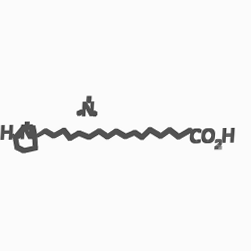 CN(C)C.CN1[C@@H]2CCC[C@@]1(CCCCCCCCCCCCCCCCCC(=O)O)CC2